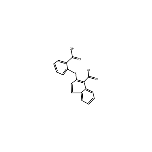 O=C(O)c1ccccc1Sc1ccc2ccccc2c1C(=O)O